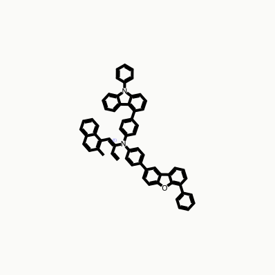 C=C/C(=C\c1c(C)ccc2ccccc12)N(c1ccc(-c2ccc3oc4c(-c5ccccc5)cccc4c3c2)cc1)c1ccc(-c2cccc3c2c2ccccc2n3-c2ccccc2)cc1